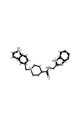 O=C(NCc1nc2ccccc2[nH]1)C1CCN(Cc2ccc3[nH]ccc3c2)CC1